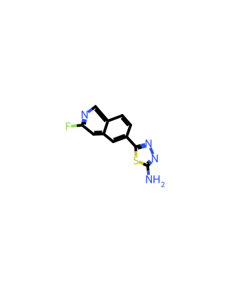 Nc1nnc(-c2ccc3cnc(F)cc3c2)s1